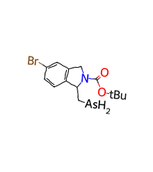 CC(C)(C)OC(=O)N1Cc2cc(Br)ccc2C1C[AsH2]